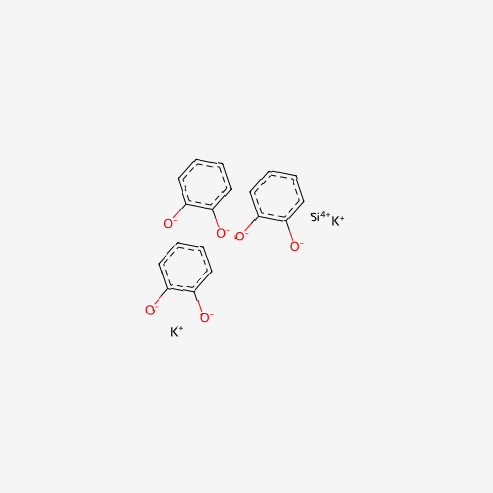 [K+].[K+].[O-]c1ccccc1[O-].[O-]c1ccccc1[O-].[O-]c1ccccc1[O-].[Si+4]